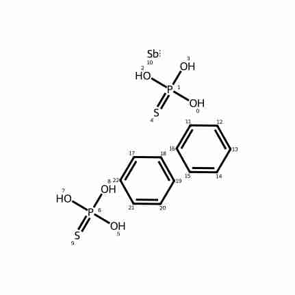 OP(O)(O)=S.OP(O)(O)=S.[Sb].c1ccccc1.c1ccccc1